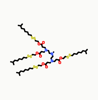 CC(C)CCCCCCSSCCOC(=O)CCN(CCC(=O)OCCSSCCCCCCC(C)C)CCN(C)CCN(CCC(=O)OCCSSCCCCCCC(C)C)CCC(=O)OCCSSCCCCCCC(C)C